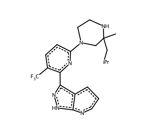 CC(C)CC1(C)CN(c2ccc(C(F)(F)F)c(-c3n[nH]c4ncccc34)n2)CCN1